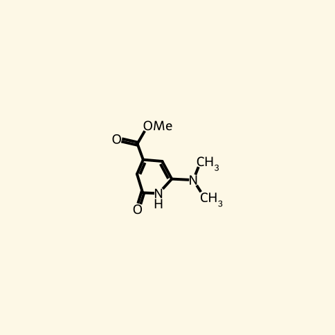 COC(=O)c1cc(N(C)C)[nH]c(=O)c1